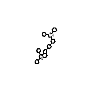 c1ccc(-c2cc(-c3ccccc3)c3c(ccc4cc(-c5ccc(-c6cccc(-c7nc(-c8ccccc8)nc(-c8ccccc8)n7)c6)cc5)ccc43)n2)cc1